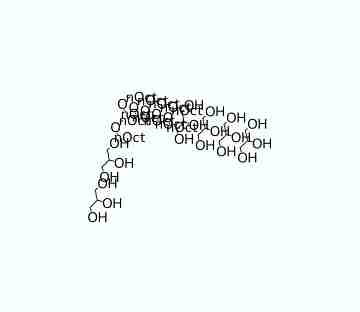 CCCCCCCCOCCCCCCCC.CCCCCCCCOCCCCCCCC.CCCCCCCCOCCCCCCCC.CCCCCCCCOCCCCCCCC.CCCCCCCCOCCCCCCCC.CCCCCCCCOCCCCCCCC.OCC(O)CO.OCC(O)CO.OCC(O)CO.OCC(O)CO.OCC(O)CO.OCC(O)CO